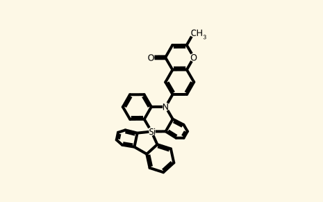 Cc1cc(=O)c2cc(N3c4ccccc4[Si]4(c5ccccc5-c5ccccc54)c4ccccc43)ccc2o1